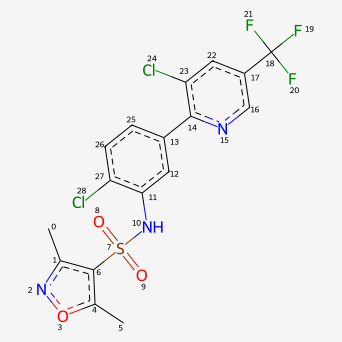 Cc1noc(C)c1S(=O)(=O)Nc1cc(-c2ncc(C(F)(F)F)cc2Cl)ccc1Cl